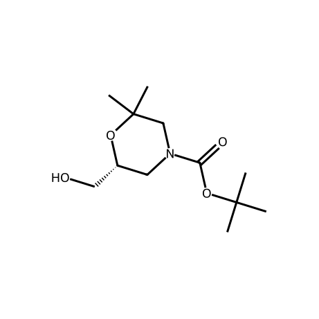 CC(C)(C)OC(=O)N1C[C@H](CO)OC(C)(C)C1